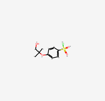 CC(C)(CO)Oc1ccc(S(=O)(=O)Cl)cc1